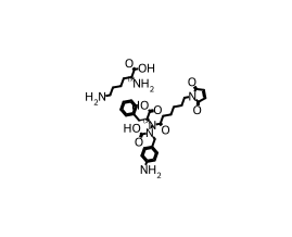 NCCCC[C@H](N)C(=O)O.Nc1ccc(CN(C(=O)O)N(C(=O)CCCCCN2C(=O)C=CC2=O)[C@@H](Cc2ccccc2)C(=O)O)cc1